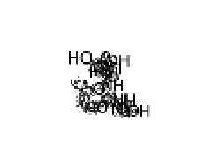 C1=CC2c3ccc4c(c3C1)C2Cc1ccccc1-4.O=C(CNC(=O)c1cc(O)cc(Nc2nccc(O)n2)c1)NC(Cl)C(O)(C(=O)O)c1ccccc1